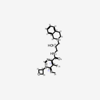 C=N/C(C(=O)NC[C@H](O)CN1CCc2ccccc2C1)=C(F)\C(=N/C)NC1COC1